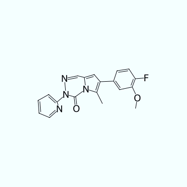 COc1cc(-c2cc3cnn(-c4ccccn4)c(=O)n3c2C)ccc1F